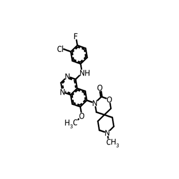 COc1cc2ncnc(Nc3ccc(F)c(Cl)c3)c2cc1N1CC2(CCN(C)CC2)COC1=O